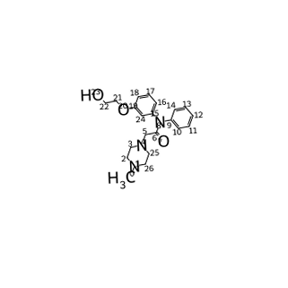 CN1CCN(CC(=O)N(c2ccccc2)c2cccc(OCCO)c2)CC1